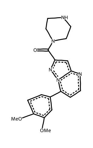 COc1ccc(-c2ccnc3cc(C(=O)N4CCNCC4)nn23)cc1OC